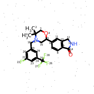 CC1(C)COC(c2ccc3c(c2)CNC3=O)CN1Cc1cc(F)cc(C(F)(F)F)c1